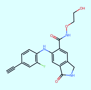 C#Cc1ccc(Nc2cc3c(cc2C(=O)NOCCO)CNC3=O)c(F)c1